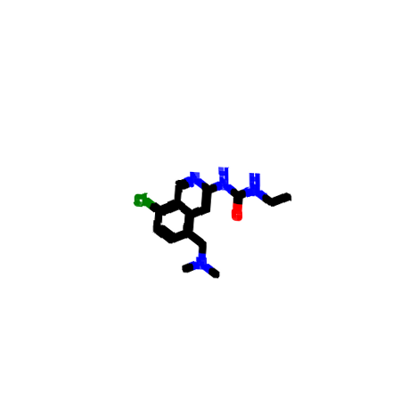 CCNC(=O)Nc1cc2c(CN(C)C)ccc(Cl)c2cn1